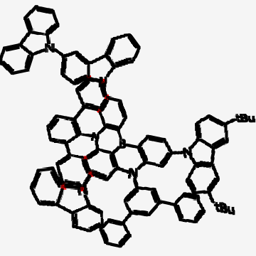 CC(C)(C)c1ccc2c(c1)c1cc(C(C)(C)C)ccc1n2-c1ccc2c(c1)N(c1cc(-c3ccccc3)cc(-c3ccccc3)c1)c1cc(-n3c4ccccc4c4ccccc43)cc3c1B2c1ccc(-n2c4ccccc4c4cc(-n5c6ccccc6c6ccccc65)ccc42)cc1N3c1c(-c2ccccc2)cccc1-c1ccccc1